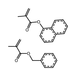 C=C(C)C(=O)OCc1ccccc1.C=C(C)C(=O)Oc1cccc2ccccc12